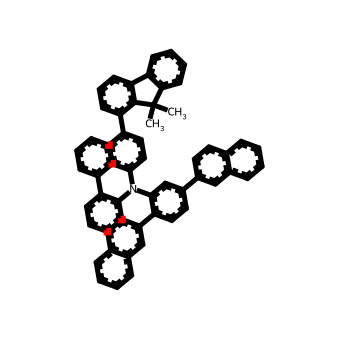 CC1(C)c2ccccc2-c2cccc(-c3ccc(N(c4ccccc4-c4ccccc4)c4cc(-c5ccc6ccccc6c5)ccc4-c4ccc5ccccc5c4)cc3)c21